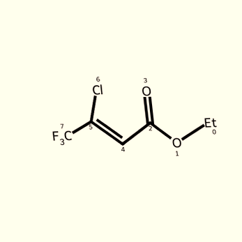 CCOC(=O)C=C(Cl)C(F)(F)F